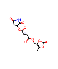 Cc1oc(=O)oc1COC(=O)/C=C/C(=O)OC1CC(=O)NC1=O